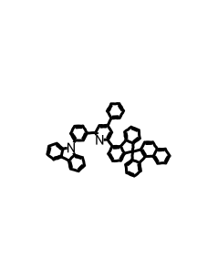 c1ccc(-c2cc(-c3cccc(-n4c5ccccc5c5ccccc54)c3)nc(-c3cccc4c3-c3ccccc3C43c4ccccc4-c4c3ccc3ccccc43)c2)cc1